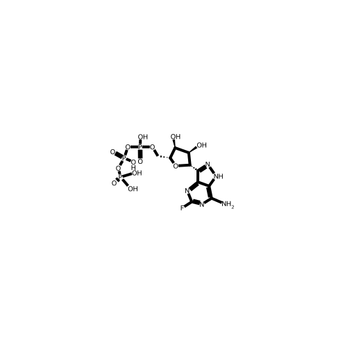 Nc1nc(F)nc2c([C@@H]3O[C@H](COP(=O)(O)OP(=O)(O)OP(=O)(O)O)[C@@H](O)[C@H]3O)n[nH]c12